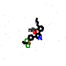 C=CC(Cl)(Cl)Sc1cccc(-c2cn(C)cc(-c3cccc(C/C=C/C)c3CCC)c2=O)c1